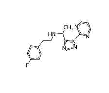 CC(NCCc1ccc(F)cc1)c1ncnn1-c1ncccn1